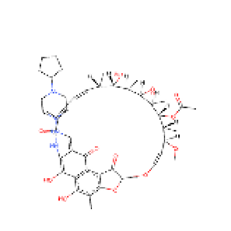 CO[C@H]1/C=C\O[C@@]2(C)Oc3c(C)c(O)c4c(c3C2=O)C(=O)/C(=C/NN2CCN(C3CCCC3)CC2)C(=C4O)NC(=O)/C(C)=C\C=C/[C@H](C)[C@H](O)[C@@H](C)[C@@H](O)[C@@H](C)[C@H](OC(C)=O)[C@@H]1C